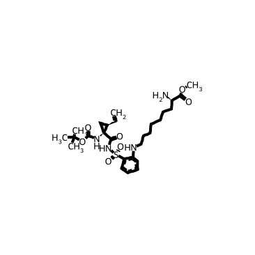 C=C[C@@H]1C[C@]1(NC(=O)OC(C)(C)C)C(=O)NS(=O)(=O)c1ccccc1NCCCCCCC[C@H](N)C(=O)OC